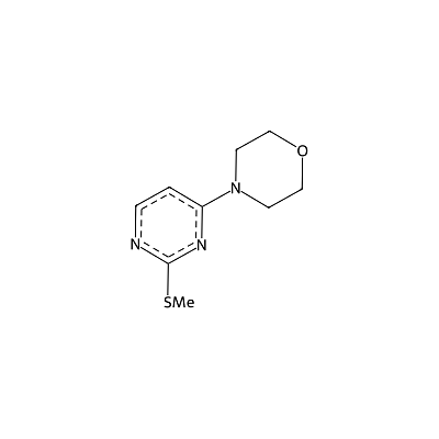 CSc1nccc(N2CCOCC2)n1